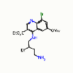 CCOC(=O)c1cnc2c(Br)cc(OC)cc2c1NCC(CC)CCN